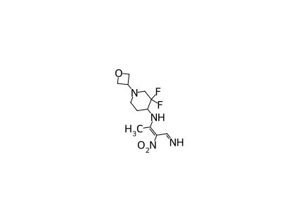 C/C(NC1CCN(C2COC2)CC1(F)F)=C(/C=N)[N+](=O)[O-]